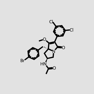 COC1=C(c2cc(Cl)cc(Cl)c2)C(=O)N2C[C@@H](NC(C)=O)C[C@@]12Cc1ccc(Br)cc1